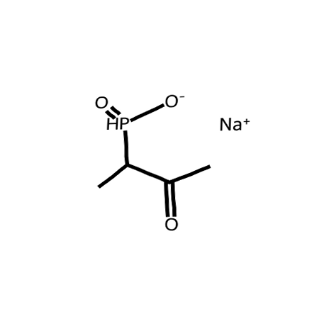 CC(=O)C(C)[PH](=O)[O-].[Na+]